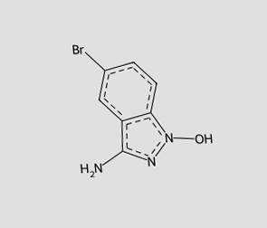 Nc1nn(O)c2ccc(Br)cc12